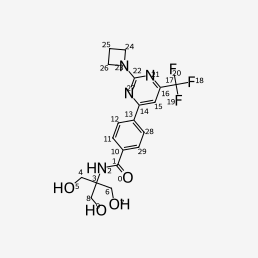 O=C(NC(CO)(CO)CO)c1ccc(-c2cc(C(F)(F)F)nc(N3CCC3)n2)cc1